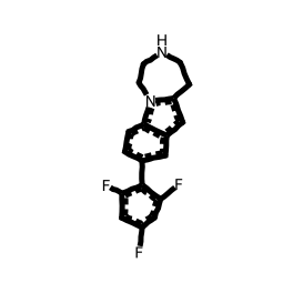 Fc1cc(F)c(-c2ccc3c(c2)cc2n3CCNCC2)c(F)c1